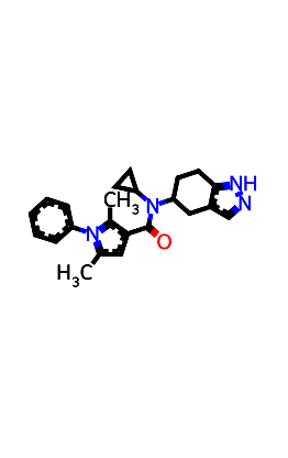 Cc1cc(C(=O)N(C2CC2)C2CCc3[nH]ncc3C2)c(C)n1-c1ccccc1